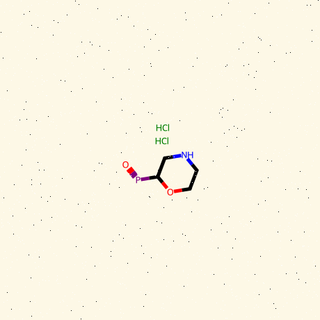 Cl.Cl.O=PC1CNCCO1